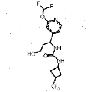 O=C(NC1CC(C(F)(F)F)C1)NC(CCO)c1ccnc(OC(F)F)c1